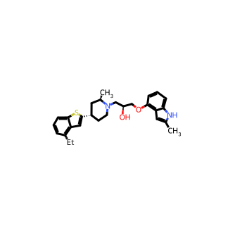 CCc1cccc2sc([C@H]3CCN(C[C@H](O)COc4cccc5[nH]c(C)cc45)[C@H](C)C3)cc12